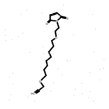 C#CCOCCCCCCCCOCCN1C(=O)C=CC1=O